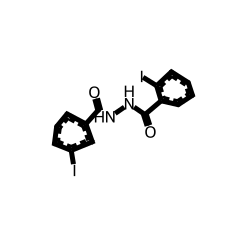 O=C(NNC(=O)c1ccccc1I)c1cccc(I)c1